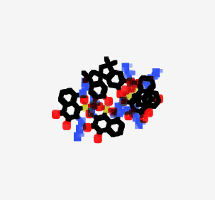 CC1(C)CC2(CC(C)(C)c3cc(OS(=O)(=O)C4=C(N=[N+]=[N-])C(=O)C(=O)c5cccc(N=[N+]=[N-])c54)c(OS(=O)(=O)C4=C(N=[N+]=[N-])C(=O)C(=O)c5cccc(N=[N+]=[N-])c54)cc32)c2cc(OS(=O)(=O)C3=C(N=[N+]=[N-])C(=O)C(=O)c4cccc(N=[N+]=[N-])c43)c(OS(=O)(=O)C3=C(N=[N+]=[N-])C(=O)C(=O)c4cccc(N=[N+]=[N-])c43)cc21